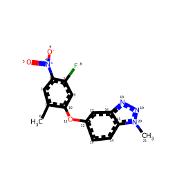 Cc1cc([N+](=O)[O-])c(F)cc1Oc1ccc2c(c1)nnn2C